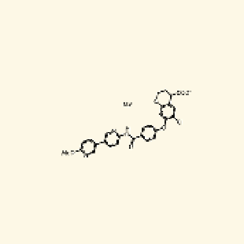 COc1ccc(-c2ccc(NC(=O)c3ccc(Oc4cc5c(cc4Cl)C(C(=O)[O-])CCO5)cc3)nc2)cn1.[Na+]